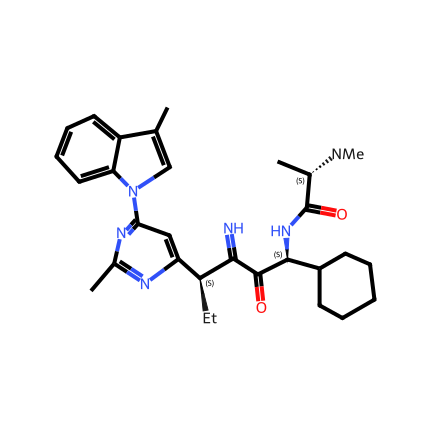 CC[C@H](C(=N)C(=O)[C@@H](NC(=O)[C@H](C)NC)C1CCCCC1)c1cc(-n2cc(C)c3ccccc32)nc(C)n1